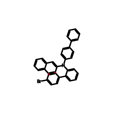 Brc1ccc(-c2ccccc2N(c2ccc(-c3ccccc3)cc2)c2ccc3ccccc3c2)cc1